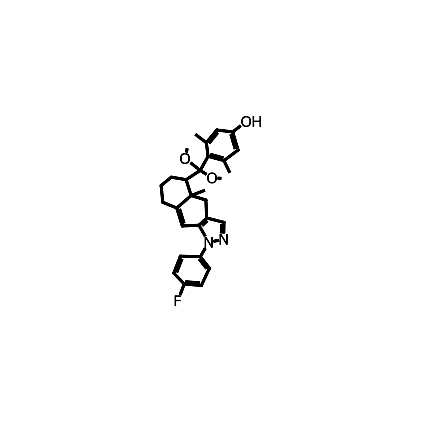 COC(OC)(c1c(C)cc(O)cc1C)C1CCCC2=Cc3c(cnn3-c3ccc(F)cc3)CC21C